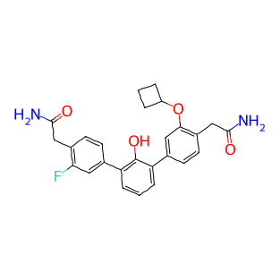 NC(=O)Cc1ccc(-c2cccc(-c3ccc(CC(N)=O)c(OC4CCC4)c3)c2O)cc1F